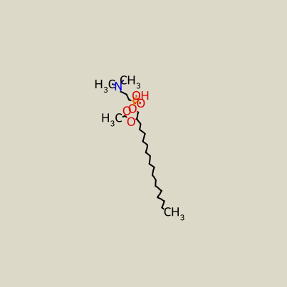 CCCCCCCCCCCCCCCCCC(COP(=O)(O)CCCN(C)C)OC(C)=O